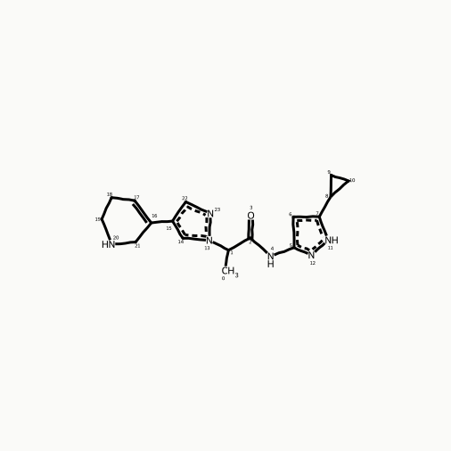 CC(C(=O)Nc1cc(C2CC2)[nH]n1)n1cc(C2=CCCNC2)cn1